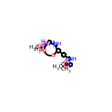 COC(=O)N[C@@H]1C(=O)N2CCC[C@H]2c2nc(c[nH]2)-c2ccc(-c3ccc(-c4c[nH]c([C@@H]5CCCN5C(=O)OC(C)(C)C)n4)cc3)cc2COCCCCO[C@@H]1C